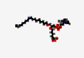 CCCCCC/C=C\CCCCCCCCOC[C@H](COP(=O)([O-])OCC[N+](C)(C)C)OCCCCC(=O)O